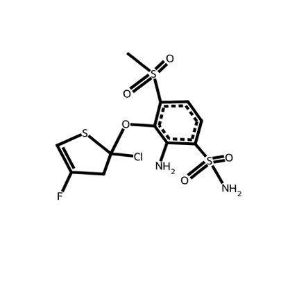 CS(=O)(=O)c1ccc(S(N)(=O)=O)c(N)c1OC1(Cl)CC(F)=CS1